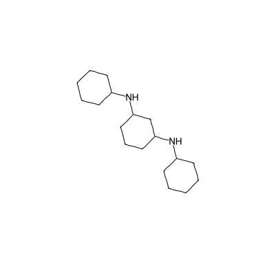 C1CCC(NC2CCCC(NC3CCCCC3)C2)CC1